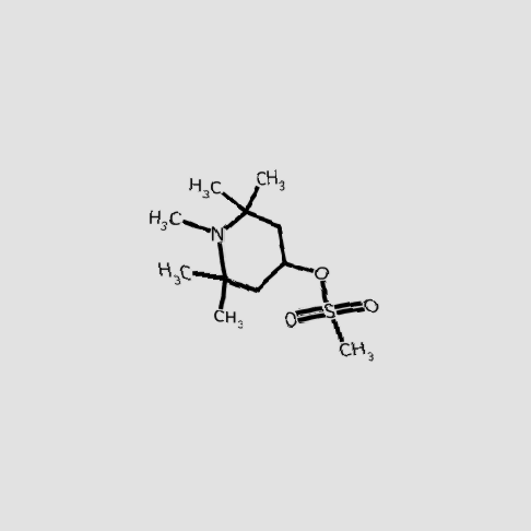 CN1C(C)(C)CC(OS(C)(=O)=O)CC1(C)C